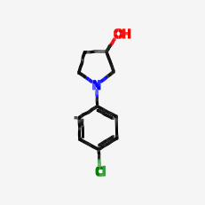 OC1CCN(c2[c]cc(Cl)cc2)C1